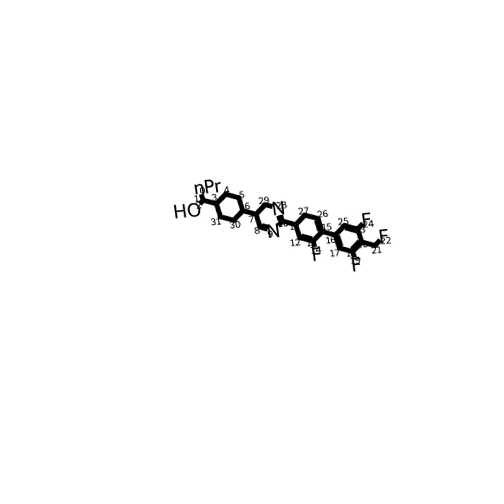 CCCC(O)C1CCC(C2C=NC(C3C=C(F)C(c4cc(F)c(CF)c(F)c4)=CC3)=NC2)CC1